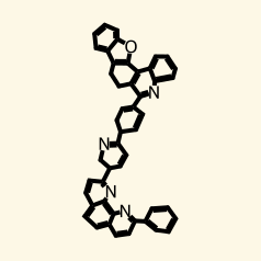 C1=CC(C2=NCC(c3ccc4ccc5ccc(-c6ccccc6)nc5c4n3)C=C2)CC=C1c1nc2ccccc2c2c1CCc1c-2oc2ccccc12